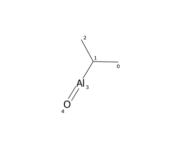 C[CH](C)[Al]=[O]